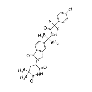 BC1(B)CC(N2Cc3cc(C(B)(B)NC(=O)C(F)(F)c4ccc(Cl)cc4)ccc3C2=O)C(=O)NC1=O